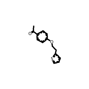 CC(=O)c1ccc(OCCc2cccs2)cc1